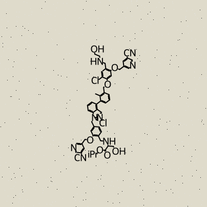 Cc1c(COc2cc(OCc3cncc(C#N)c3)c(CNCCO)cc2Cl)cccc1-c1cccc2c1cnn2Cc1cc(OCc2cncc(C#N)c2)c(CNC(CO)C(=O)OC(C)C)cc1Cl